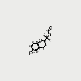 CC(C)(OC=O)C1CCc2cc(F)ccc2O1